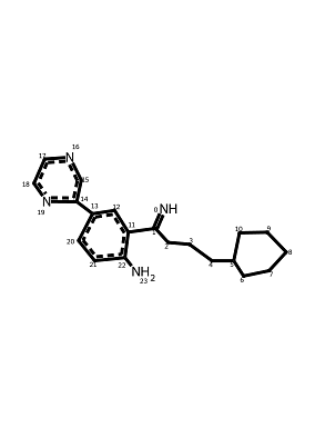 N=C(CCCC1CCCCC1)c1cc(-c2cnccn2)ccc1N